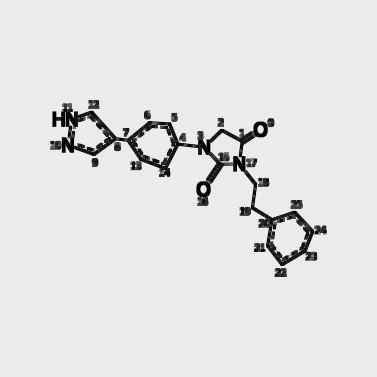 O=C1CN(c2ccc(-c3cn[nH]c3)cc2)C(=O)N1CCc1ccccc1